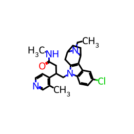 CCN1C2CCC1c1c(n(CC(CC(=O)NC)c3ccncc3C)c3ccc(Cl)cc13)C2